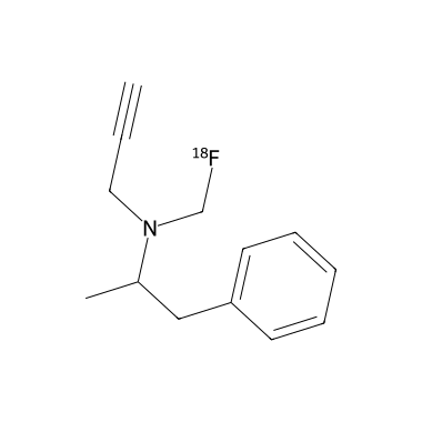 C#CCN(C[18F])C(C)Cc1ccccc1